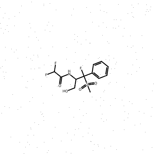 CS(=O)(=O)C(F)(c1ccccc1)C(CO)NC(=O)C(F)F